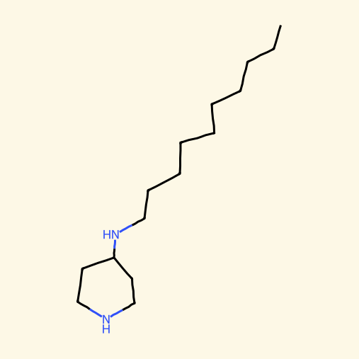 CCCCCCCCCCNC1CCNCC1